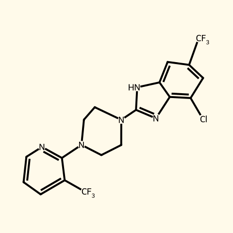 FC(F)(F)c1cc(Cl)c2nc(N3CCN(c4ncccc4C(F)(F)F)CC3)[nH]c2c1